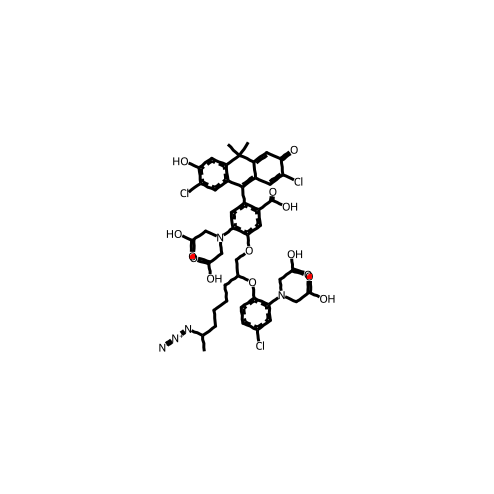 CC(CCCCC(COc1cc(C(=O)O)c(C2=C3C=C(Cl)C(=O)C=C3C(C)(C)c3cc(O)c(Cl)cc32)cc1N(CC(=O)O)CC(=O)O)Oc1ccc(Cl)cc1N(CC(=O)O)CC(=O)O)N=[N+]=[N-]